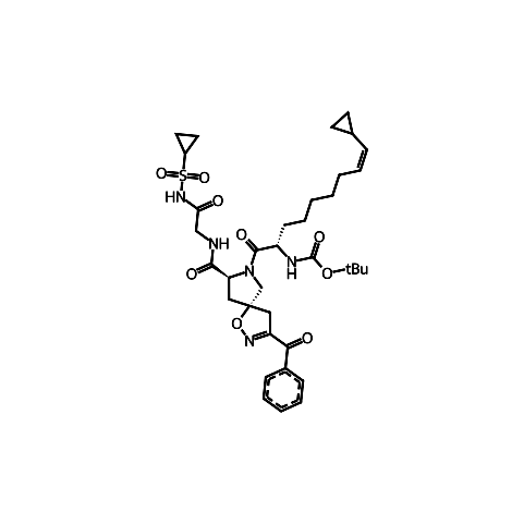 CC(C)(C)OC(=O)N[C@@H](CCCCC/C=C\C1CC1)C(=O)N1C[C@@]2(CC(C(=O)c3ccccc3)=NO2)C[C@H]1C(=O)NCC(=O)NS(=O)(=O)C1CC1